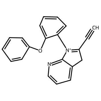 C#CC1=[N+](c2ccccc2Oc2ccccc2)c2ncccc2C1